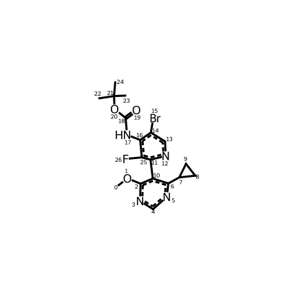 COc1ncnc(C2CC2)c1-c1ncc(Br)c(NC(=O)OC(C)(C)C)c1F